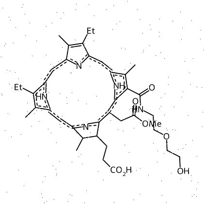 CCC1=C(C)c2cc3[nH]c(cc4nc(c(CC(=O)OC)c5[nH]c(cc1n2)c(C)c5C(=O)NCCOCCO)C(CCC(=O)O)C4C)c(C)c3CC